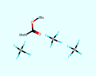 CNC(=O)OC(C)(C)C.F[B-](F)(F)F.F[B-](F)(F)F.F[B-](F)(F)F